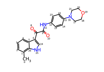 Cc1cccc2c(C(=O)C(=O)Nc3ccc(N4CCOCC4)cc3)c[nH]c12